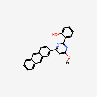 CCOc1cc(-c2ccc3cc4ccccc4cc3c2)nc(-c2ccccc2O)n1